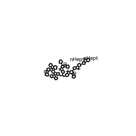 CCCCCCCC1(CCCCCCC)c2ccccc2-c2ccc(-c3ccc4c(c3)C(C)(C)c3cc(-c5cc6c(c7c5oc5ccccc57)-c5ccc(/C=C(/Cc7ccc8c(c7)C7(C9=C8C=C8C(C9)c9c(ccc%10oc%11ccccc%11c9%10)C89c8ccccc8-c8ccccc89)c8ccccc8-c8ccccc87)c7ccc8c(c7)C(C)(C)c7cc(-c9ccccc9)c9oc%10ccccc%10c9c7-8)cc5C6(C)C)ccc3-4)cc21